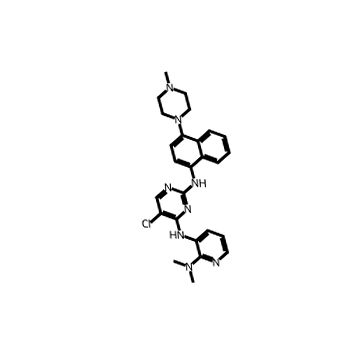 CN1CCN(c2ccc(Nc3ncc(Cl)c(Nc4cccnc4N(C)C)n3)c3ccccc23)CC1